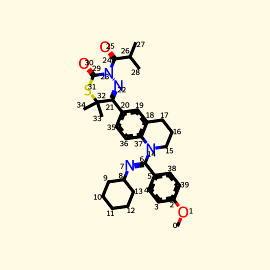 COc1ccc(C(=NC2CCCCC2)N2CCCc3cc(C4=NN(C(=O)C(C)C)C(=O)SC4(C)C)ccc32)cc1